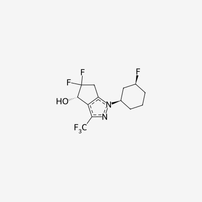 O[C@H]1c2c(C(F)(F)F)nn([C@@H]3CCC[C@H](F)C3)c2CC1(F)F